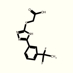 CC(F)(F)c1cccc(-c2nnc(SCC(=O)O)[nH]2)c1